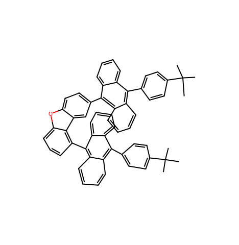 CC(C)(C)c1ccc(-c2c3ccccc3c(-c3ccc4oc5cccc(-c6c7ccccc7c(-c7ccc(C(C)(C)C)cc7)c7ccccc67)c5c4c3)c3ccccc23)cc1